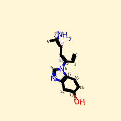 C=C/C(=C\C=C(/C)N)n1cnc2cc(O)ccc21